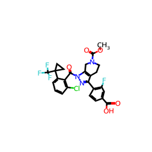 COC(=O)N1CCc2c(-c3ccc(C(=O)O)cc3F)nn(C(=O)c3c(Cl)cccc3C3(C(F)(F)F)CC3)c2C1